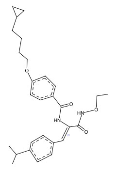 CCONC(=O)/C(=C/c1ccc(C(C)C)cc1)NC(=O)c1ccc(OCCCCC2CC2)cc1